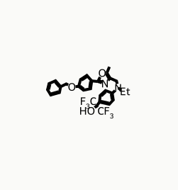 CCN(Cc1nc(-c2ccc(OCc3ccccc3)cc2)oc1C)c1ccc(C(O)(C(F)(F)F)C(F)(F)F)cc1